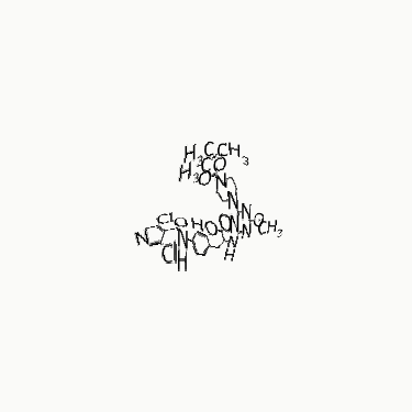 COc1nc(N[C@@H](Cc2ccc(NC(=O)c3c(Cl)cncc3Cl)cc2)C(=O)O)nc(N2CCN(C(=O)OC(C)(C)C)CC2)n1